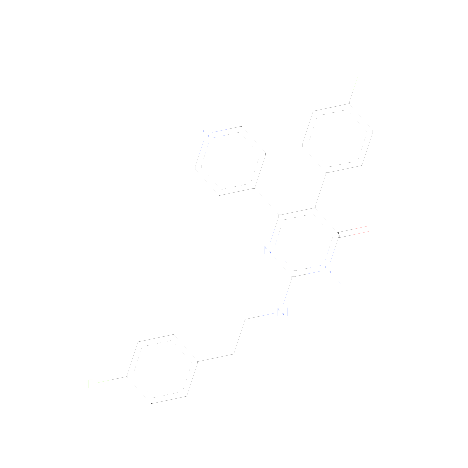 Cn1c(NCCc2ccc(F)cc2)nc(-c2ccncc2)c(-c2ccc(F)cc2)c1=O